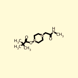 CNC(=O)CN1CCN(OC(=O)C(C)(C)C)CC1